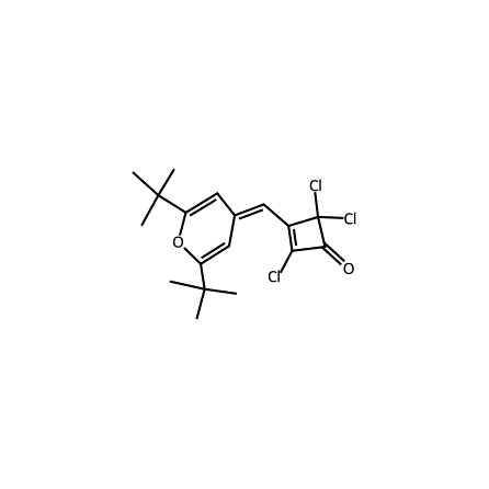 CC(C)(C)C1=CC(=CC2=C(Cl)C(=O)C2(Cl)Cl)C=C(C(C)(C)C)O1